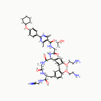 Cc1nc(-c2ccc(OC3CCCCC3)cc2)nc(C)c1C(=O)N[C@H](CCO)C(=O)N(C)[C@@H]1C(=O)N[C@@H](C)C(=O)N[C@H](C(=O)NCC#N)Cc2ccc(OCCN)c(c2)-c2cc1ccc2OCCN